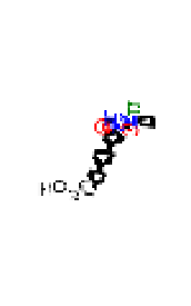 O=C(O)CC1CCC(c2ccc(-c3ccc4c(c3)OCCN4C(=O)Nc3ccccc3F)cc2)CC1